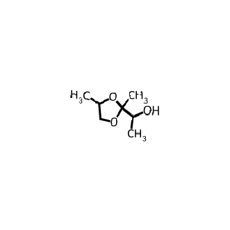 CC1COC(C)(C(C)O)O1